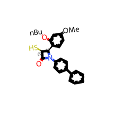 CCCCOc1cc(OC)ccc1[C@@H]1[C@H](S)C(=O)N1c1ccc(-c2ccccc2)cc1